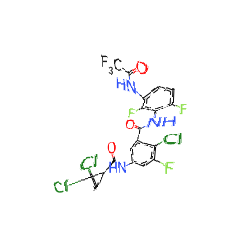 O=C(Nc1c(F)ccc(NC(=O)C(F)(F)F)c1F)c1cc(NC(=O)[C@H]2CC2(Cl)Cl)cc(F)c1Cl